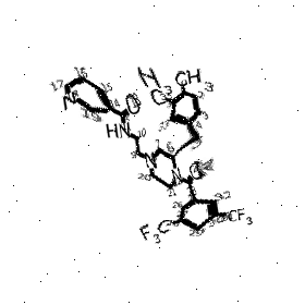 Cc1ccc(C[C@@H]2CN(CCNC(=O)c3cccnc3)CCN2C(=O)c2cc(C(F)(F)F)cc(C(F)(F)F)c2)cc1C